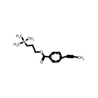 CC#Cc1ccc(C(=O)OCCC[N+](C)(C)C)cc1